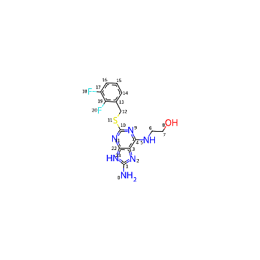 Nc1nc2c(NCCO)nc(SCc3cccc(F)c3F)nc2[nH]1